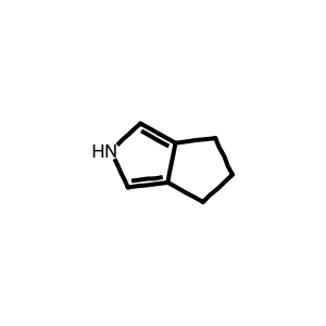 c1[nH]cc2c1CCC2